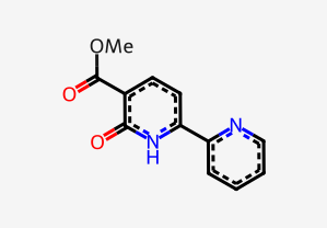 COC(=O)c1ccc(-c2ccccn2)[nH]c1=O